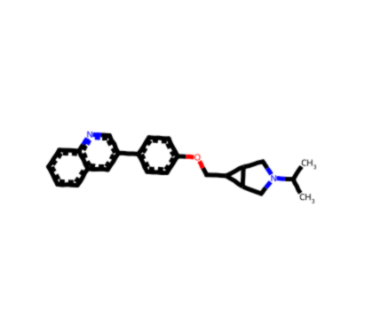 CC(C)N1CC2C(COc3ccc(-c4cnc5ccccc5c4)cc3)C2C1